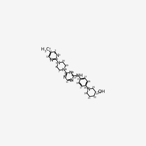 Cc1cnc(N2CCN(c3ncnc(Nc4ccc(N5CCC[C@@H](O)C5)cc4)n3)CC2)nc1